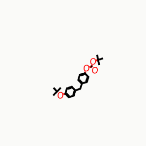 CC(C)(C)OC(=O)Oc1ccc(Cc2ccc(OC(C)(C)C)cc2)cc1